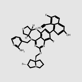 C#Cc1c(F)ccc2cc(O)cc(-c3cc4c5c(nc(OC[C@@]67CCCN6C[C@H](F)C7)nc5c3F)N(Cc3cccnc3N)[C@@H]3COC[C@@H]3O4)c12